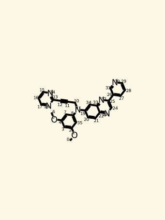 COc1cc(OC)cc(N(CC#Cc2ncccn2)c2ccc3ncc(-c4cccnc4)nc3c2)c1